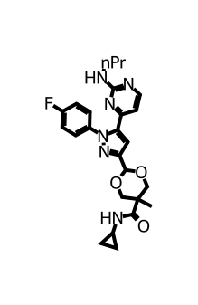 CCCNc1nccc(-c2cc(C3OCC(C)(C(=O)NC4CC4)CO3)nn2-c2ccc(F)cc2)n1